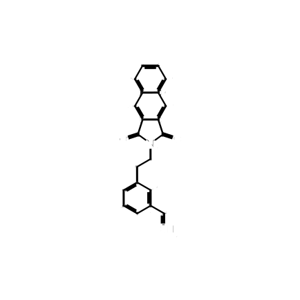 C=Cc1cccc(CCN2C(=O)c3cc4ccccc4cc3C2=O)c1